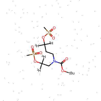 [2H]C([2H])(CCN(CC([2H])([2H])OS(C)(=O)=O)C(=O)OC(C)(C)C)OS(C)(=O)=O